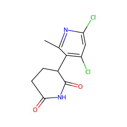 Cc1nc(Cl)cc(Cl)c1C1CCC(=O)NC1=O